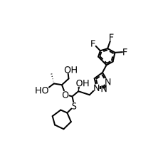 C[C@@H](O)C(CO)OC(SC1CCCCC1)[C@@H](O)Cn1cc(-c2cc(F)c(F)c(F)c2)nn1